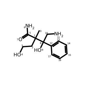 CC(CCO)(C(N)=O)C(O)(CN)c1ccccc1